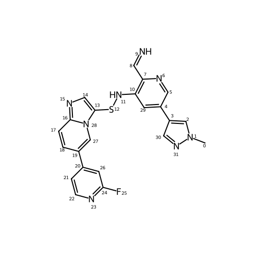 Cn1cc(-c2cnc(C=N)c(NSc3cnc4ccc(-c5ccnc(F)c5)cn34)c2)cn1